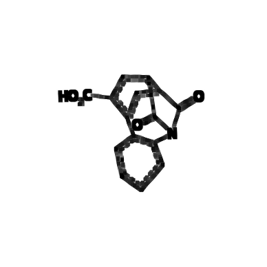 O=C(O)c1cc2c3cc1-c1ccccc1N(C2=O)C3=O